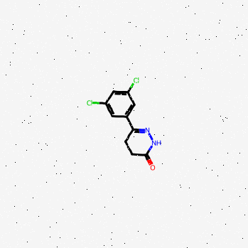 O=C1CCC(c2cc(Cl)cc(Cl)c2)=NN1